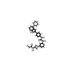 O=C(C=S)NC1CN(c2ccnc(NC(=O)Nc3ccc(-c4cc5c(N6CCOCC6)ncnc5[nH]4)cc3)c2)C1